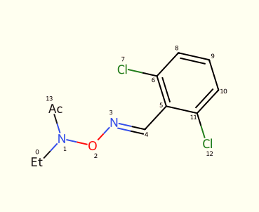 CCN(ON=Cc1c(Cl)cccc1Cl)C(C)=O